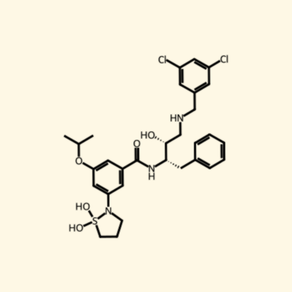 CC(C)Oc1cc(C(=O)N[C@@H](Cc2ccccc2)[C@H](O)CNCc2cc(Cl)cc(Cl)c2)cc(N2CCCS2(O)O)c1